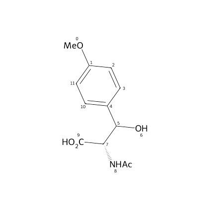 COc1ccc(C(O)[C@H](NC(C)=O)C(=O)O)cc1